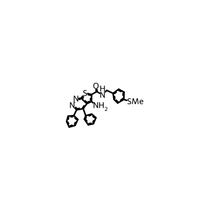 CSc1ccc(CNC(=O)c2sc3nnc(-c4ccccc4)c(-c4ccccc4)c3c2N)cc1